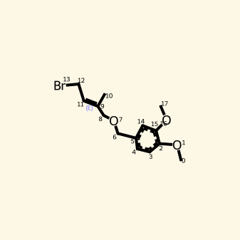 COc1ccc(COC/C(C)=C/CBr)cc1OC